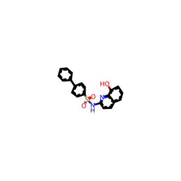 O=S(=O)(Nc1ccc2cccc(O)c2n1)c1ccc(-c2ccccc2)cc1